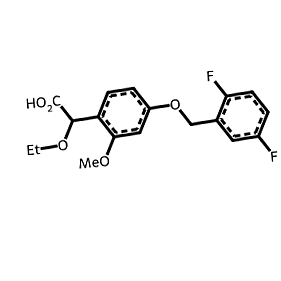 CCOC(C(=O)O)c1ccc(OCc2cc(F)ccc2F)cc1OC